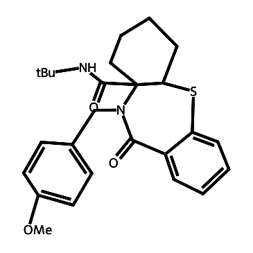 COc1ccc(CN2C(=O)c3ccccc3SC3CCCCC32C(=O)NC(C)(C)C)cc1